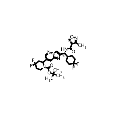 Cc1nonc1C(=O)N[C@H](c1cn2ncc(C3CC(F)(F)CCN3C(=O)OC(C)(C)C)cc2n1)C1CCC(F)(F)CC1